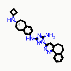 Nc1nc(Nc2ccc3c(c2)CC[C@@H](NC2CCC2)CC3)nn1-c1cc2c(nn1)-c1ccccc1CCC2